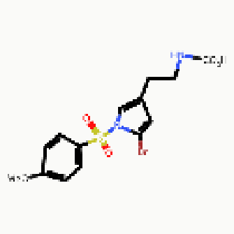 COc1ccc(S(=O)(=O)n2cc(CCNC(=O)O)cc2Br)cc1